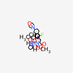 COC(=O)[C@H](Cc1ccc2c(c1F)CCC(N1CCOCC1)C2)NC(=O)[C@@H]1[C@H]2CC[C@H](C2)N1C(=O)OC(C)(C)C